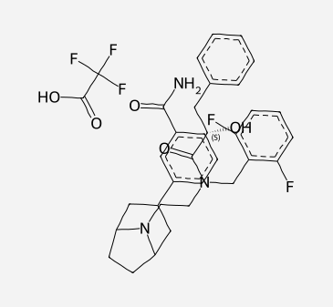 NC(=O)c1cccc(C2CC3CCC(C2)N3CCN(Cc2c(F)cccc2F)C(=O)[C@@H](O)Cc2ccccc2)c1.O=C(O)C(F)(F)F